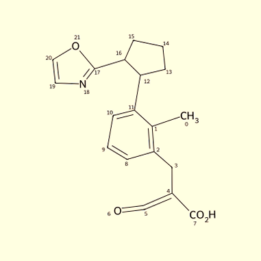 Cc1c(CC(=C=O)C(=O)O)cccc1C1CCCC1c1ncco1